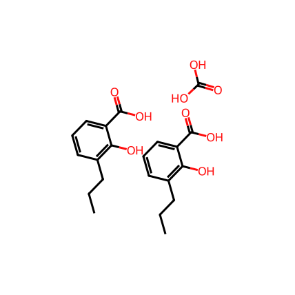 CCCc1cccc(C(=O)O)c1O.CCCc1cccc(C(=O)O)c1O.O=C(O)O